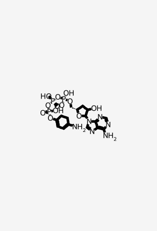 NC1=CC=C(OP(=O)(O)OP(=O)(O)OP(=O)(O)OC[C@@H]2CC(O)C(n3cnc4c(N)ncnc43)O2)CC1